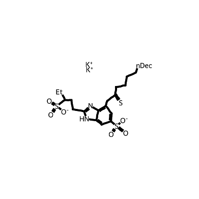 CCCCCCCCCCCCCCC(=S)Cc1cc(S(=O)(=O)[O-])cc2[nH]c(CCC(CC)S(=O)(=O)[O-])nc12.[K+].[K+]